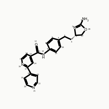 NC1=N[C@@H](CCc2ccc(NC(=O)c3ccnc(-c4ccncc4)c3)cc2)CO1